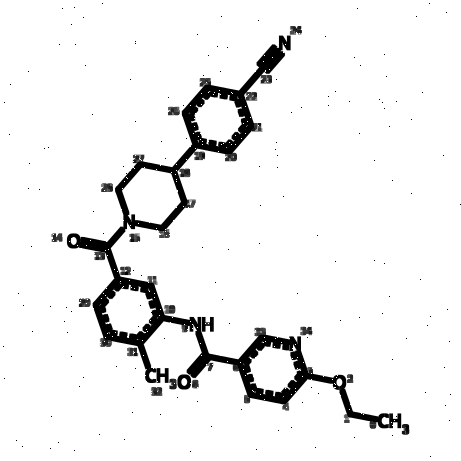 CCOc1ccc(C(=O)Nc2cc(C(=O)N3CCC(c4ccc(C#N)cc4)CC3)ccc2C)cn1